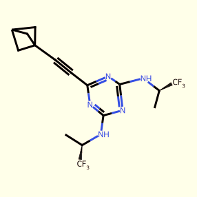 C[C@@H](Nc1nc(C#CC23CC(C2)C3)nc(N[C@H](C)C(F)(F)F)n1)C(F)(F)F